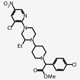 CCC1CN(c2ncc([N+](=O)[O-])cc2Cl)CCN1C1CCN(C(C(=O)OC)c2ccc(Cl)cc2)CC1